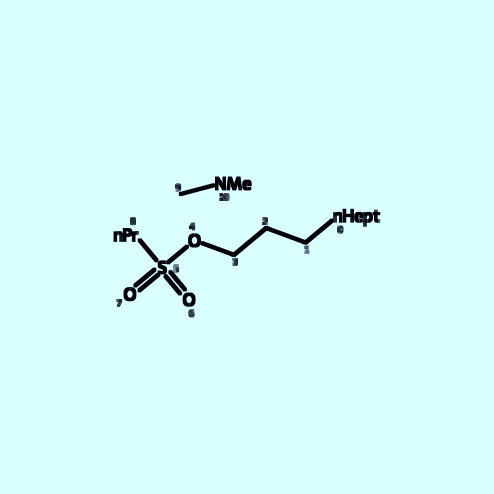 CCCCCCCCCCOS(=O)(=O)CCC.CNC